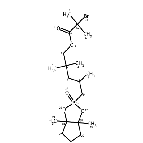 CC(CC(C)(C)COC(=O)C(C)(C)Br)CP1(=O)OC2(C)CCCC2(C)O1